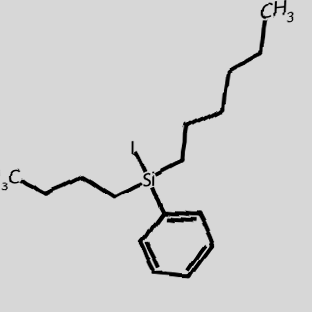 CCCCCC[Si](I)(CCCC)c1ccccc1